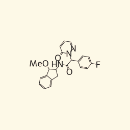 COC1c2ccccc2CC1NC(=O)C(c1ccc(F)cc1)n1ncccc1=O